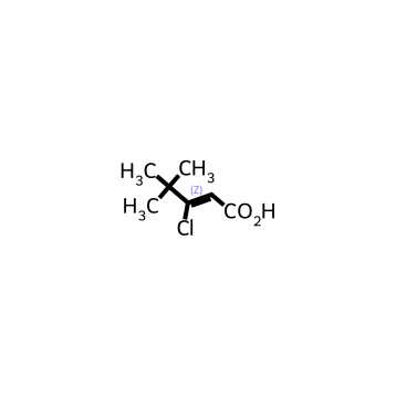 CC(C)(C)/C(Cl)=C/C(=O)O